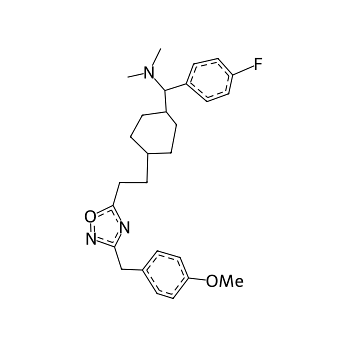 COc1ccc(Cc2noc(CCC3CCC(C(c4ccc(F)cc4)N(C)C)CC3)n2)cc1